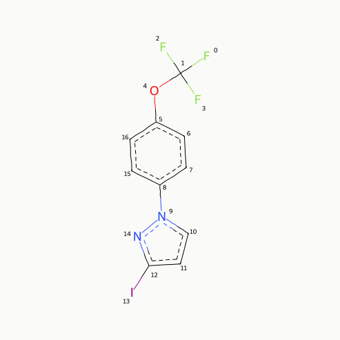 FC(F)(F)Oc1ccc(-n2ccc(I)n2)cc1